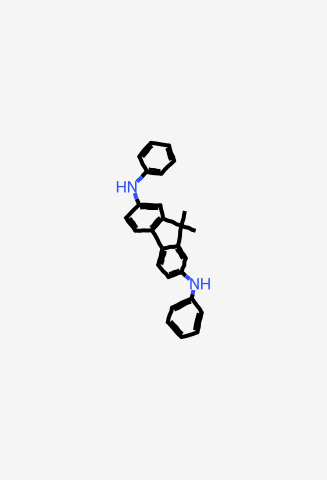 CC1(C)c2cc(Nc3ccccc3)ccc2-c2ccc(Nc3ccccc3)cc21